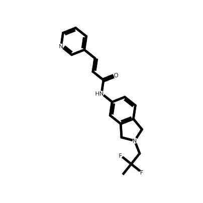 CC(F)(F)CN1Cc2ccc(NC(=O)/C=C/c3cccnc3)cc2C1